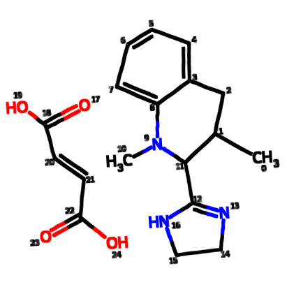 CC1Cc2ccccc2N(C)C1C1=NCCN1.O=C(O)C=CC(=O)O